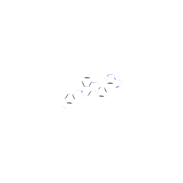 Cc1ccc2c(Nc3ccc(N)cc3)nccc2c1Nc1ncccc1-c1ncnc2[nH]ncc12